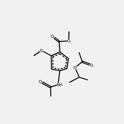 CC(=O)OC(C)C.COC(=O)c1ccc(NC(C)=O)cc1OC